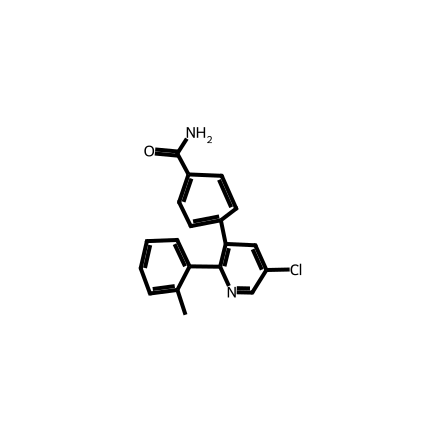 Cc1ccccc1-c1ncc(Cl)cc1-c1ccc(C(N)=O)cc1